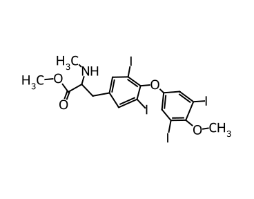 CNC(Cc1cc(I)c(Oc2cc(I)c(OC)c(I)c2)c(I)c1)C(=O)OC